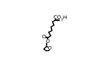 C=C(CCCCCCC(=O)OCC1CCCO1)C(=O)O